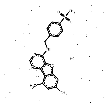 Cc1cc(C)c2c(n1)oc1c(NCc3ccc(S(C)(=O)=O)cc3)ncnc12.Cl